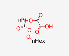 CCCCCCOOC(=O)CCC.O=C(O)C(=O)O